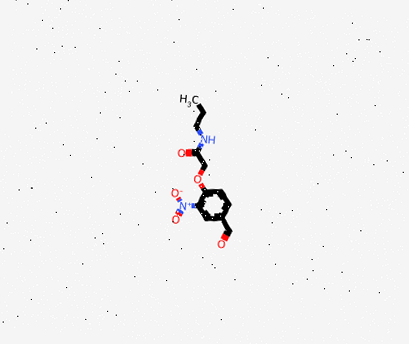 CCCNC(=O)COc1ccc(C=O)cc1[N+](=O)[O-]